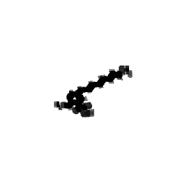 C=Cc1ccc(CCCCCCCCC)cc1S(=O)(=O)O